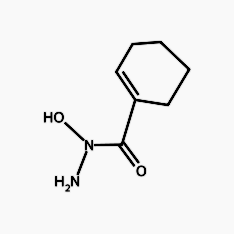 NN(O)C(=O)C1=CCCCC1